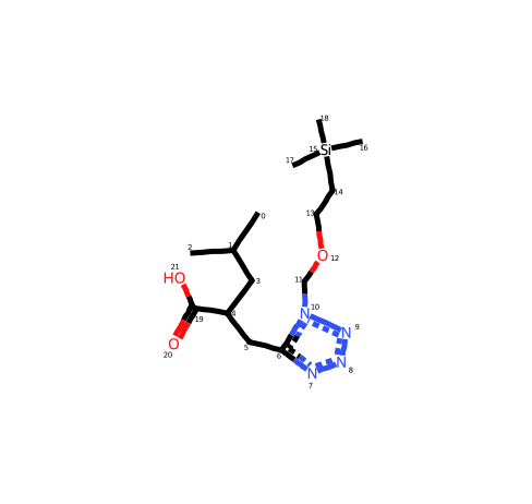 CC(C)CC(Cc1nnnn1COCC[Si](C)(C)C)C(=O)O